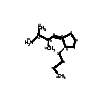 CCCC[C@H]1CCC/C1=C/[C@@H](C)N(C)N